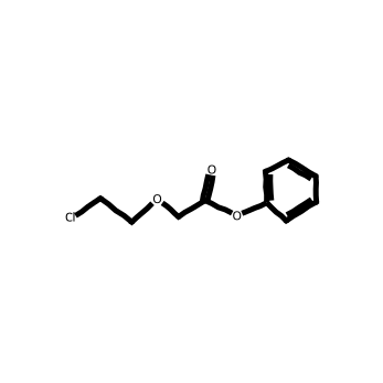 O=C(COCCCl)Oc1ccccc1